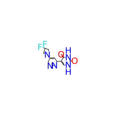 O=c1[nH]cc(-c2cc(N3CC(F)(F)C3)cnn2)c(=O)[nH]1